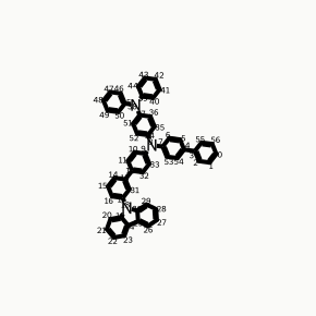 c1ccc(-c2ccc(N(c3ccc(-c4cccc(-n5c6ccccc6c6ccccc65)c4)cc3)c3ccc(N(c4ccccc4)c4ccccc4)cc3)cc2)cc1